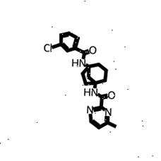 Cc1ccnc(C(=O)NC23CCCC(NC(=O)c4cccc(Cl)c4)(CC2)C3)n1